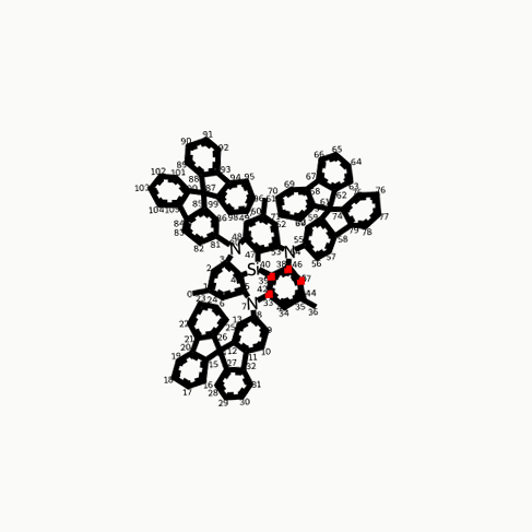 Cc1cc2c3c(c1)N(c1ccc4c(c1)C1(c5ccccc5-c5ccccc51)c1ccccc1-4)c1cc(C)cc4c1[Si]3(c1ccccc1)c1c(cc(C)cc1N4c1ccc3c(c1)C1(c4ccccc4-c4ccccc41)c1ccccc1-3)N2c1ccc2c(c1)C1(c3ccccc3-c3ccccc31)c1ccccc1-2